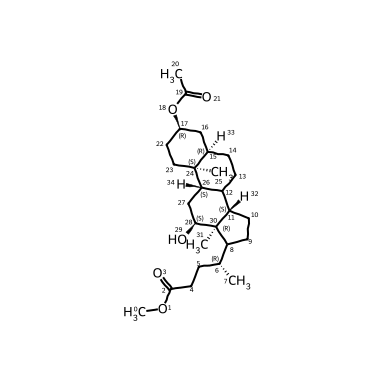 COC(=O)CC[C@@H](C)C1CC[C@H]2C3CC[C@@H]4C[C@H](OC(C)=O)CC[C@]4(C)[C@H]3C[C@H](O)[C@]12C